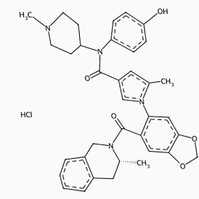 Cc1cc(C(=O)N(c2ccc(O)cc2)C2CCN(C)CC2)cn1-c1cc2c(cc1C(=O)N1Cc3ccccc3C[C@H]1C)OCO2.Cl